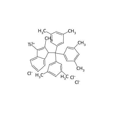 CC1=[C]([Ti+3])c2ccccc2C1C(c1cc(C)cc(C)c1)(c1cc(C)cc(C)c1)c1cc(C)cc(C)c1.[Cl-].[Cl-].[Cl-]